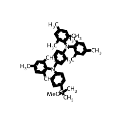 CO[Si](C)(C)c1ccc(N(c2ccc(N(c3c(C)cc(C)cc3C)c3c(C)cc(C)cc3C)cc2)c2c(C)cc(C)cc2C)cc1